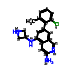 Cc1cccc(Cl)c1-c1cc(NC2CNC2)c2cc(N)ncc2c1